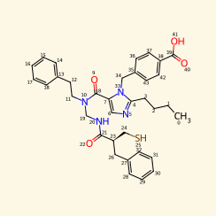 CCCCc1ncc(C(=O)N(CCc2ccccc2)CNC(=O)[C@@H](CS)Cc2ccccc2)n1Cc1ccc(C(=O)O)cc1